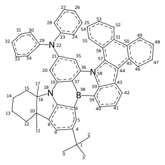 CC(C)(C)c1cc2c3c(c1)C1(C)CCCCC1(C)N3c1cc(N(c3ccccc3)c3ccccc3)cc3c1B2c1cccc2c4c5ccccc5c5ccccc5c4n-3c12